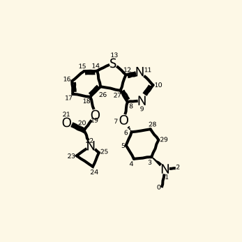 CN(C)[C@H]1CC[C@H](Oc2ncnc3sc4cccc(OC(=O)N5CCC5)c4c23)CC1